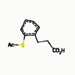 CC(=O)Sc1ccccc1CCC(=O)O